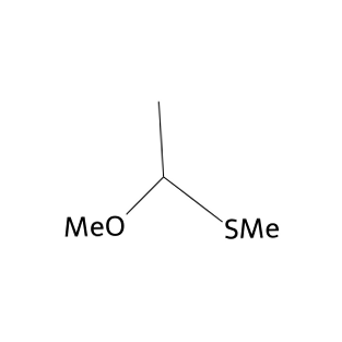 COC(C)SC